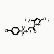 Cc1cc(C)n(C(=O)CNS(=O)(=O)c2ccc(Cl)cc2)n1